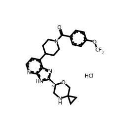 Cl.O=C(c1ccc(OC(F)(F)F)cc1)N1CCC(c2ccnc3[nH]c([C@@H]4CNC5(CC5)CO4)nc23)CC1